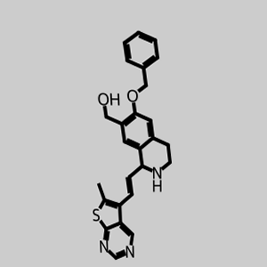 Cc1sc2ncncc2c1/C=C/C1NCCc2cc(OCc3ccccc3)c(CO)cc21